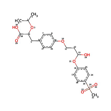 CC(C)OC(Cc1ccc(OCCC(O)Oc2ccc(S(C)(=O)=O)cc2)cc1)C(=O)O